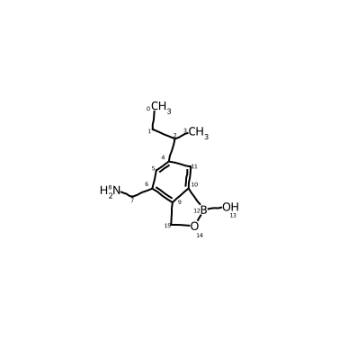 CCC(C)c1cc(CN)c2c(c1)B(O)OC2